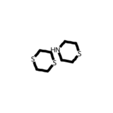 C1CSCCN1.C1CSCCS1